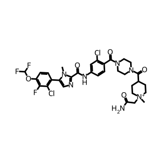 Cn1c(-c2ccc(OC(F)F)c(F)c2Cl)cnc1C(=O)Nc1ccc(C(=O)N2CCN(C(=O)C3CC[N+](C)(CC(N)=O)CC3)CC2)c(Cl)c1